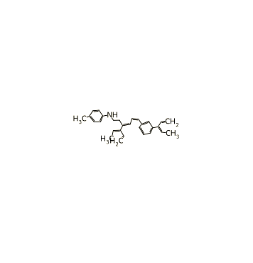 C=CC(=C\C)/C(=C/C=C\c1cccc(/C(C=C)=C/C)c1)CCNc1ccc(C)cc1